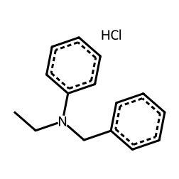 CCN(Cc1ccccc1)c1ccccc1.Cl